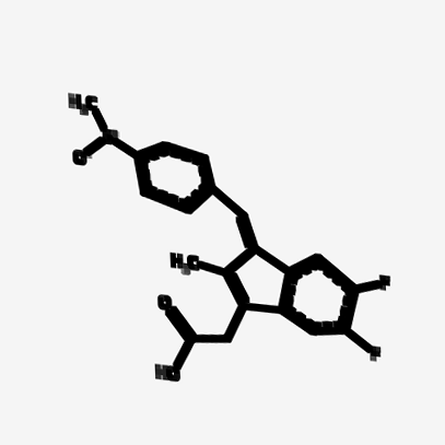 CC1=C(CC(=O)O)c2cc(F)c(F)cc2/C1=C/c1ccc([S+](C)[O-])cc1